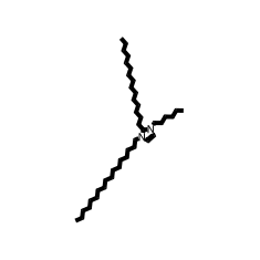 CCCCCCCCCCCCCCCCCN1C=CN(CCCCCC)C1CCCCCCCCCCCCCCC